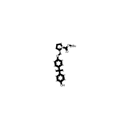 CC(C)(C)OC(=O)N1CCC[C@@H]1COc1ccc(C(C)(C)c2ccc(O)cc2)cc1